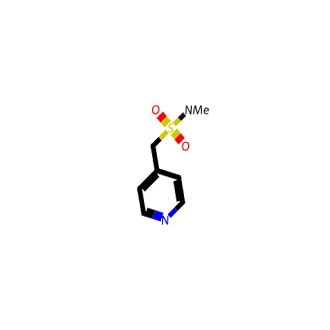 CNS(=O)(=O)Cc1ccncc1